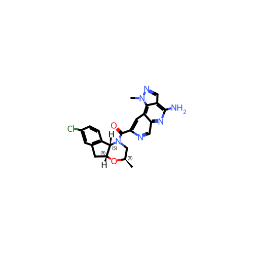 C[C@@H]1CN(C(=O)c2cc3c(cn2)nc(N)c2cnn(C)c23)[C@H]2c3ccc(Cl)cc3C[C@H]2O1